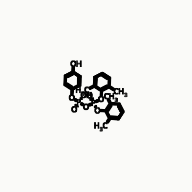 Cc1cccc(C)c1OP(=O)(Oc1c(C)cccc1C)OP(=O)(O)Oc1ccc(O)cc1